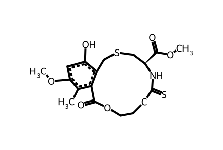 COC(=O)[C@@H]1CSCc2c(O)cc(OC)c(C)c2C(=O)OCCCC(=S)N1